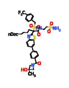 CCCCCCCCCCCCCCC(C(=O)NCCS(N)(=O)=O)(c1nc2ccc(-c3ccc(C(=O)N4CC(C)(O)C4)cc3)cc2s1)S(=O)(=O)Cc1ccc(C(F)(F)F)cc1